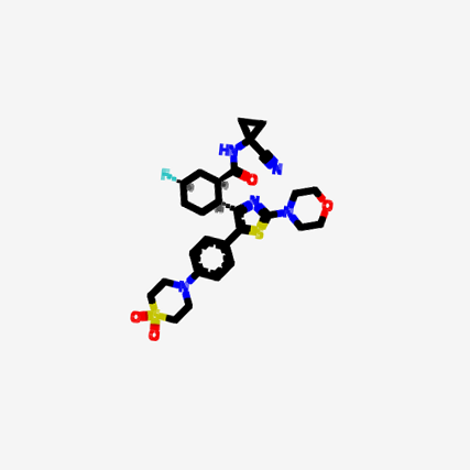 N#CC1(NC(=O)[C@@H]2C[C@@H](F)CC[C@H]2c2nc(N3CCOCC3)sc2-c2ccc(N3CCS(=O)(=O)CC3)cc2)CC1